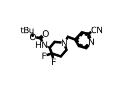 CC(C)(C)OC(=O)N[C@H]1CN(Cc2ccnc(C#N)c2)CCC1(F)F